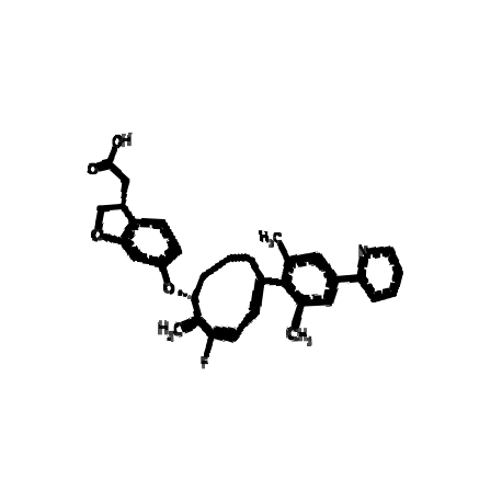 C=C1/C(F)=C\C=C(\c2c(C)cc(-c3ccccn3)cc2C)CCC[C@H]1Oc1ccc2c(c1)OC[C@H]2CC(=O)O